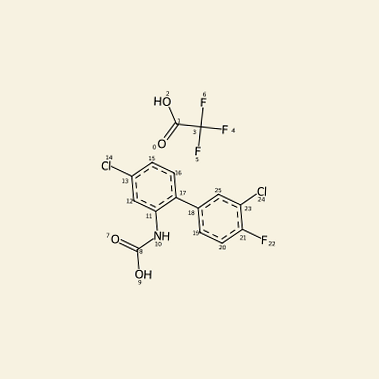 O=C(O)C(F)(F)F.O=C(O)Nc1cc(Cl)ccc1-c1ccc(F)c(Cl)c1